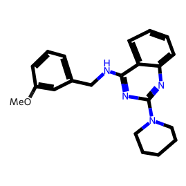 COc1cccc(CNc2nc(N3CCCCC3)nc3ccccc23)c1